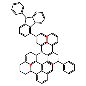 C1=CCC(N(c2cccc(-c3cccc4c3c3ccccc3n4-c3ccccc3)c2)c2ccc(-c3ccccc3)cc2-c2ccccc2)C(c2cccc3cccc(C4CCCCC4)c23)=C1